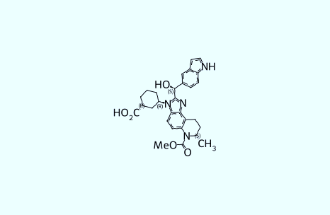 COC(=O)N1c2ccc3c(nc([C@@H](O)c4ccc5[nH]ccc5c4)n3[C@@H]3CCC[C@@H](C(=O)O)C3)c2CC[C@@H]1C